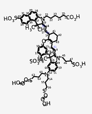 CC1(C)C(/C=C/C2=C(Oc3ccc(S(=O)(=O)O)cc3)C(=C/C=C3/N(CCCCCC(=O)O)c4ccc5cc(S(=O)(=O)O)ccc5c4C3(C)C)/CCC2)=[N+](CCCS(=O)(=O)O)c2ccc(N(CCCSOOO)CCCSOOO)cc21